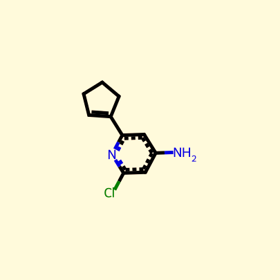 Nc1cc(Cl)nc(C2=CCCC2)c1